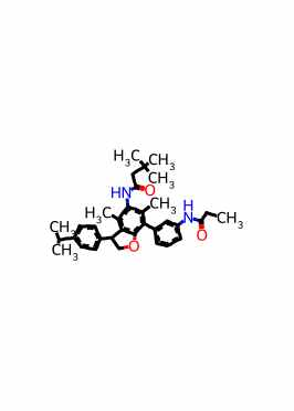 CCC(=O)Nc1cccc(-c2c(C)c(NC(=O)CC(C)(C)C)c(C)c3c2OCC3c2ccc(C(C)C)cc2)c1